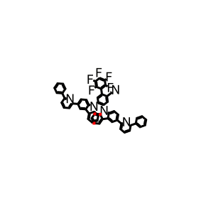 N#Cc1cc(-n2c3ccccc3c3cc(-c4cccc(-c5ccccc5)n4)ccc32)c(-n2c3ccccc3c3cc(-c4cccc(-c5ccccc5)n4)ccc32)cc1-c1c(F)c(F)c(F)c(F)c1F